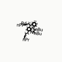 CCCC#CCCc1ccccc1N=C(CCCC)C(CCCC)=Nc1ccccc1CCC#CCCC.[Pd]